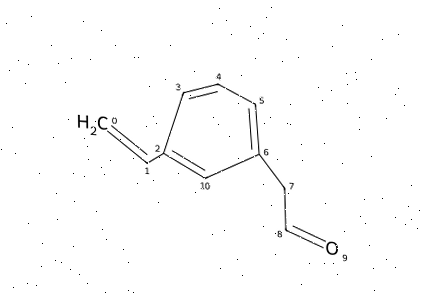 C=Cc1cccc(CC=O)c1